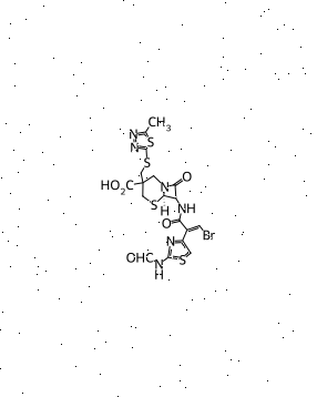 Cc1nnc(SCC2(C(=O)O)CS[C@@H]3C(NC(=O)C(=CBr)c4csc(NC=O)n4)C(=O)N3C2)s1